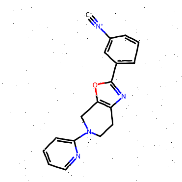 [C-]#[N+]c1cccc(-c2nc3c(o2)CN(c2ccccn2)CC3)c1